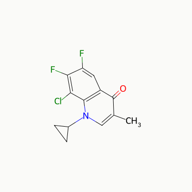 Cc1cn(C2CC2)c2c(Cl)c(F)c(F)cc2c1=O